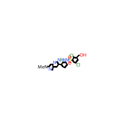 CNc1cc2nc(N)c(-c3cccc(NS(=O)(=O)c4cc(Cl)cc(CO)c4Cl)c3F)cc2cn1